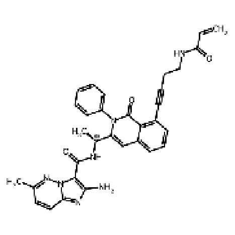 C=CC(=O)NCCC#Cc1cccc2cc([C@H](C)NC(=O)c3c(N)nc4ccc(C)nn34)n(-c3ccccc3)c(=O)c12